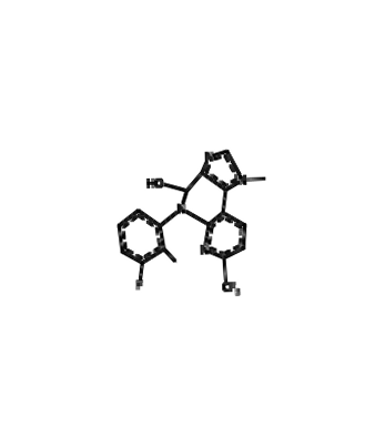 Cc1c(F)cccc1N1c2nc(C(F)(F)F)ccc2-c2c(ncn2C)C1O